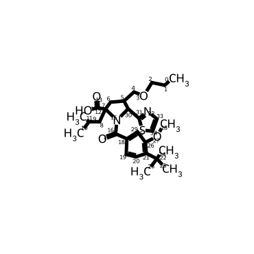 CCCOCC1CC(CC(C)C)(C(=O)O)N(C(=O)c2ccc(C(C)(C)C)c(OC)c2)C1c1nccs1